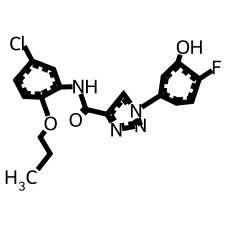 CCCOc1ccc(Cl)cc1NC(=O)c1cn(-c2ccc(F)c(O)c2)nn1